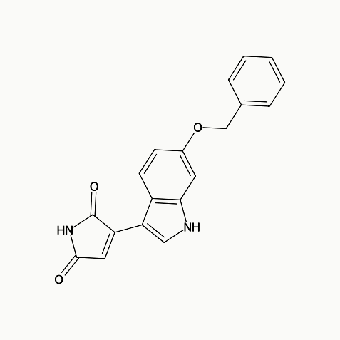 O=C1C=C(c2c[nH]c3cc(OCc4ccccc4)ccc23)C(=O)N1